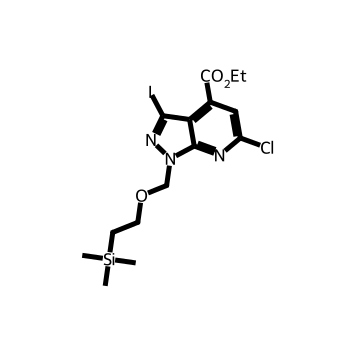 CCOC(=O)c1cc(Cl)nc2c1c(I)nn2COCC[Si](C)(C)C